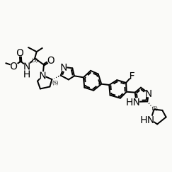 COC(=O)N[C@H](C(=O)N1CCC[C@H]1C1=NC=C(c2ccc(-c3ccc(-c4cnc([C@@H]5CCCN5)[nH]4)c(F)c3)cc2)C1)C(C)C